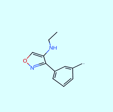 [CH2]c1cccc(-c2nocc2NCC)c1